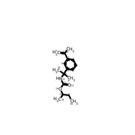 C=C(C)c1cccc(C(C)(C)NC(=O)OC(C)CC)c1